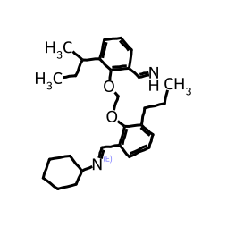 CCCc1cccc(/C=N/C2CCCCC2)c1OCOc1c(C=N)cccc1C(C)CC